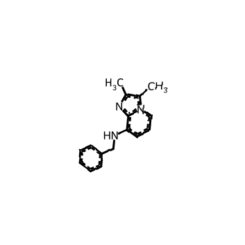 Cc1nc2c(NCc3ccccc3)cccn2c1C